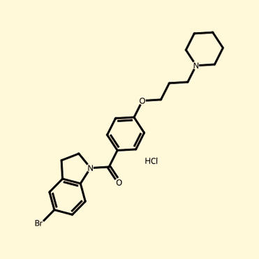 Cl.O=C(c1ccc(OCCCN2CCCCC2)cc1)N1CCc2cc(Br)ccc21